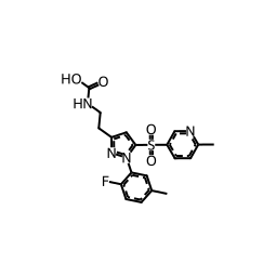 Cc1ccc(F)c(-n2nc(CCNC(=O)O)cc2S(=O)(=O)c2ccc(C)nc2)c1